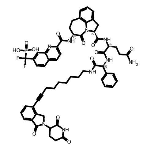 NC(=O)CC[C@H](NC(=O)[C@@H]1Cc2cccc3c2N1C(=O)[C@@H](NC(=O)c1ccc2ccc(C(F)(F)P(=O)(O)O)cc2n1)CC3)C(=O)N[C@H](C(=O)NCCCCCCCC#Cc1cccc2c1CN(C1CCC(=O)NC1=O)C2=O)c1ccccc1